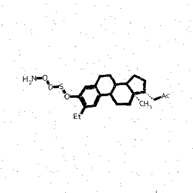 CCc1cc2c(cc1OSOON)CCC1C2CC[C@@]2(C)C1CC[C@@H]2CC(C)=O